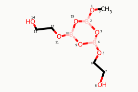 COB1OB(OCCO)OB(OCCO)O1